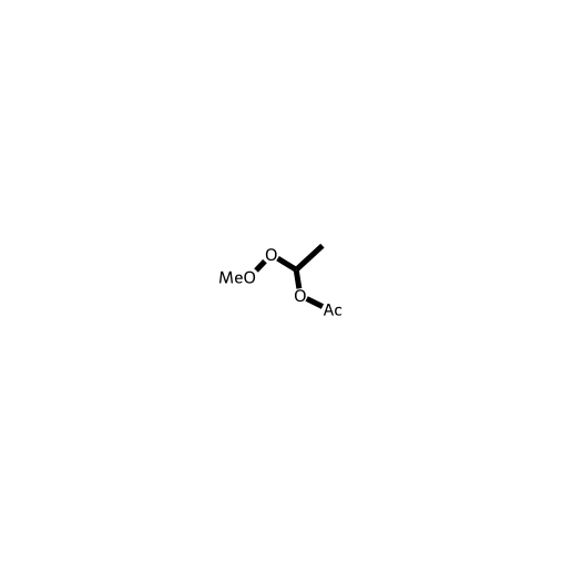 COOC(C)OC(C)=O